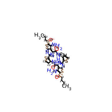 CCCC[S+]([O-])c1sc2nc(-c3cccs3)nc(C(=O)Nc3ccsc3-c3nc(C(=O)NC)c4c(N)c([S+]([O-])CCC)sc4n3)c2c1N